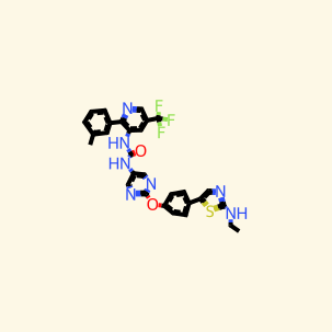 CCNc1ncc(-c2ccc(Oc3ncc(NC(=O)Nc4cc(C(F)(F)F)cnc4-c4cccc(C)c4)cn3)cc2)s1